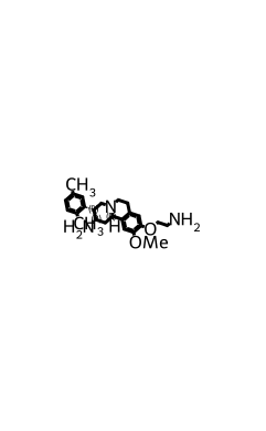 COc1cc2c(cc1OCCN)CCN1C[C@@H](c3cc(C)ccc3C)[C@H](N)C[C@H]21